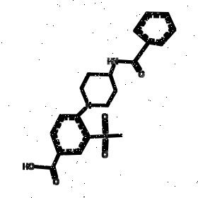 CS(=O)(=O)c1cc(C(=O)O)ccc1N1CCC(NC(=O)c2ccccc2)CC1